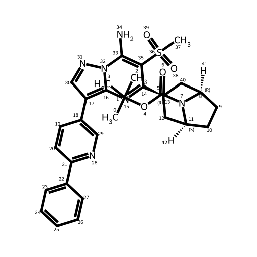 CC(C)(C)OC(=O)N1[C@@H]2CC[C@H]1C[C@@H](c1nc3c(-c4ccc(-c5ccccc5)nc4)cnn3c(N)c1S(C)(=O)=O)C2